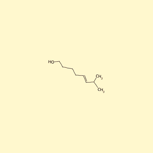 CC(C)C=CCCCCO